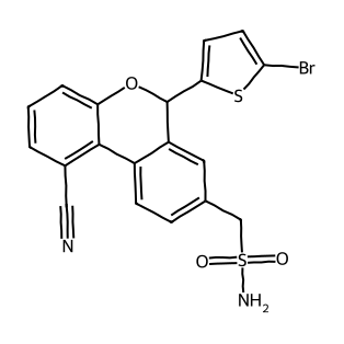 N#Cc1cccc2c1-c1ccc(CS(N)(=O)=O)cc1C(c1ccc(Br)s1)O2